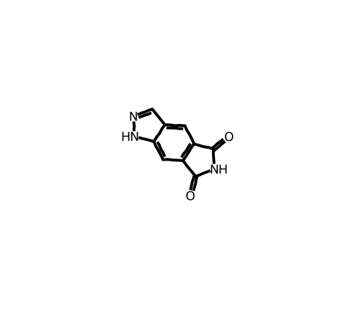 O=C1NC(=O)c2cc3[nH]ncc3cc21